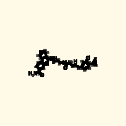 NC(=O)c1ccc2c(c1)nc(NCCCNC(=O)CCNCc1ccc(C3CC3)c(Cl)c1)c1ccncc12